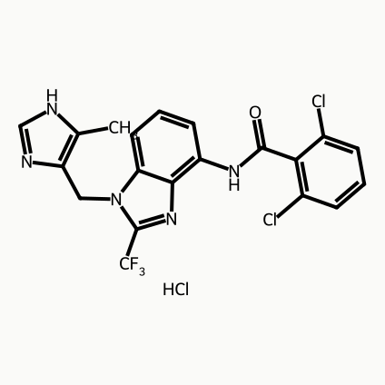 Cc1[nH]cnc1Cn1c(C(F)(F)F)nc2c(NC(=O)c3c(Cl)cccc3Cl)cccc21.Cl